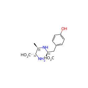 C[C@@H](N[C@@H](Cc1ccc(O)cc1)C(=O)O)[C@H](N)C(=O)O